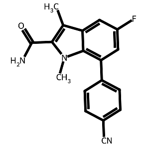 Cc1c(C(N)=O)n(C)c2c(-c3ccc(C#N)cc3)cc(F)cc12